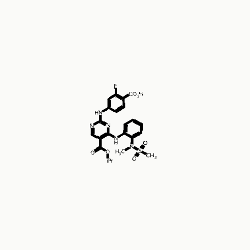 CC(C)OC(=O)c1cnc(Nc2ccc(C(=O)O)c(F)c2)nc1Nc1ccccc1N(C)S(C)(=O)=O